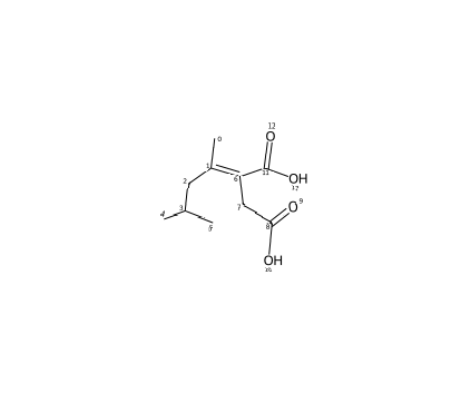 CC(CC(C)C)=C(CC(=O)O)C(=O)O